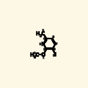 COc1nc(C)ccc1I